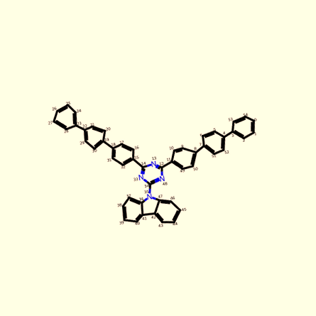 c1ccc(-c2ccc(-c3ccc(-c4nc(-c5ccc(-c6ccc(-c7ccccc7)cc6)cc5)nc(-n5c6ccccc6c6ccccc65)n4)cc3)cc2)cc1